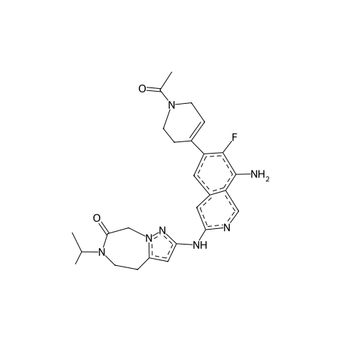 CC(=O)N1CC=C(c2cc3cc(Nc4cc5n(n4)CC(=O)N(C(C)C)CC5)ncc3c(N)c2F)CC1